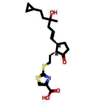 CC(O)(CC=C[C@H]1CCC(=O)[C@@H]1CCSc1nc(C(=O)O)cs1)CCC1CC1